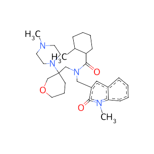 CC1CCCCC1C(=O)N(Cc1cc2ccccc2n(C)c1=O)CC1(N2CCN(C)CC2)CCCOC1